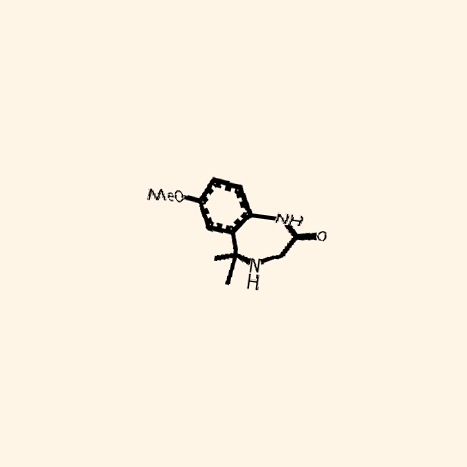 COc1ccc2c(c1)C(C)(C)NCC(=O)N2